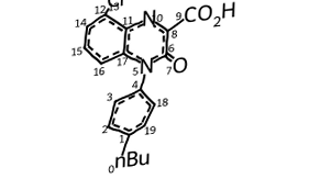 CCCCc1ccc(-n2c(=O)c(C(=O)O)nc3c(Cl)cccc32)cc1